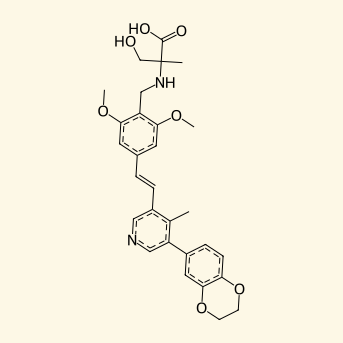 COc1cc(/C=C/c2cncc(-c3ccc4c(c3)OCCO4)c2C)cc(OC)c1CNC(C)(CO)C(=O)O